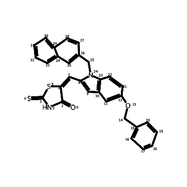 O=C1NC(=S)S/C1=C/c1cc2cc(OCc3ccccc3)ccc2n1Cc1ccc2ccccc2c1